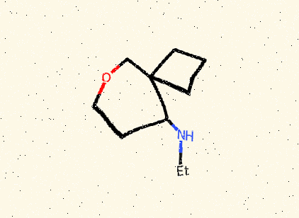 CCNC1CCOCC12CCC2